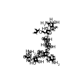 C=CC(C)COCC[C@@H]1[C@@H](COP(=O)(O)OP(=O)(O)OP(=O)(O)OC[C@H]2O[C@@H](n3cnc4c(N)ncnc43)[C@H](OC)[C@@H]2OP(=O)(O)OC[C@H]2O[C@@H](n3cnc4c(=O)[nH]c(N)nc43)[C@H](O)[C@@H]2O)OC(n2c[n+](C)c3c2N=C(N)NC3O)[C@@H]1O